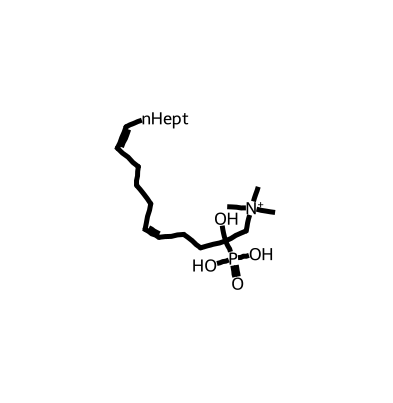 CCCCCCC/C=C\CCC/C=C\CCC(O)(C[N+](C)(C)C)P(=O)(O)O